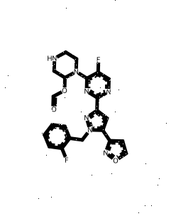 O=COC1CNCCN1c1nc(-c2cc(-c3ccon3)n(Cc3ccccc3F)n2)ncc1F